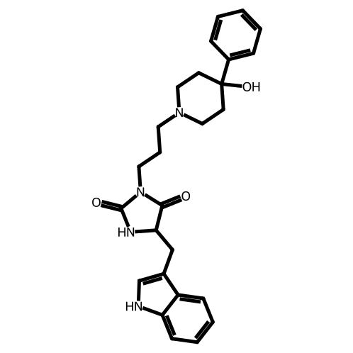 O=C1NC(Cc2c[nH]c3ccccc23)C(=O)N1CCCN1CCC(O)(c2ccccc2)CC1